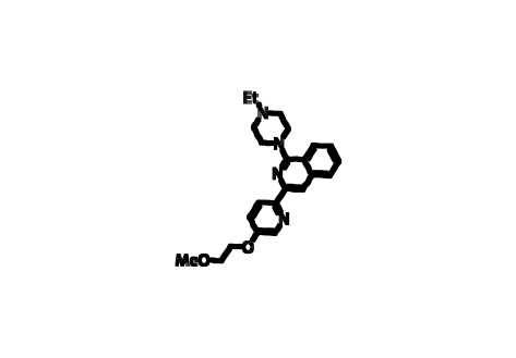 CCN1CCN(c2nc(-c3ccc(OCCOC)cn3)cc3ccccc23)CC1